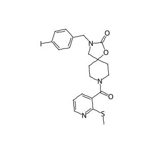 CSc1ncccc1C(=O)N1CCC2(CC1)CN(Cc1ccc(I)cc1)C(=O)O2